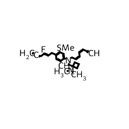 C#C/C=C\C=C/CN(CC1(N(C)C)CCC1)c1cc(SC)c(C/C=C(\F)C=C=C)cc1C